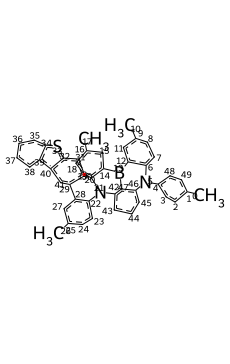 Cc1ccc(N2c3ccc(C)cc3B3c4cc(C)ccc4N(c4ccc(C)cc4-c4ccc5sc6ccccc6c5c4)c4cccc2c43)cc1